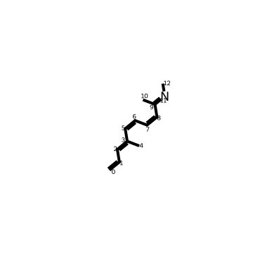 C=C/C=C(C)/C=C\C=C/C(C)=N/C